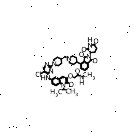 CNC(=O)COc1cc2cc(Nc3nc(N4CCC(CN5CCC(c6cccc7c6C(=O)N(C6CCC(=O)NC6=O)C7=O)CC5)CC4)ncc3Cl)ccc2n(C(C)C)c1=O